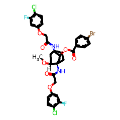 CO[C@@H]1C[C@]2(NC(=O)COc3ccc(Cl)c(F)c3)CC[C@@]1(NC(=O)COc1ccc(Cl)c(F)c1)CC2OC(=O)c1ccc(Br)cc1